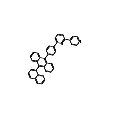 c1cc(-c2ccncc2)nc(-c2ccc(-c3c4ccccc4c(-c4cccc5ccccc45)c4ccccc34)cc2)c1